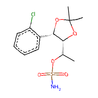 CC(OS(N)(=O)=O)[C@H]1OC(C)(C)O[C@H]1c1ccccc1Cl